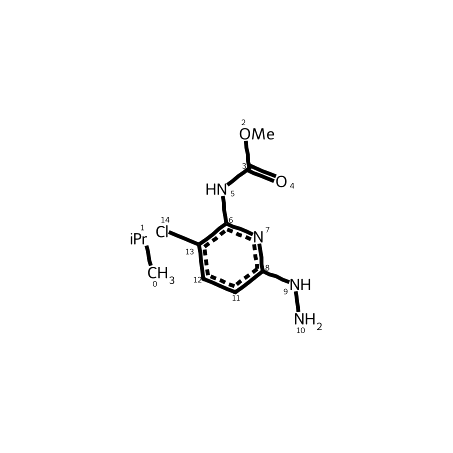 CC(C)C.COC(=O)Nc1nc(NN)ccc1Cl